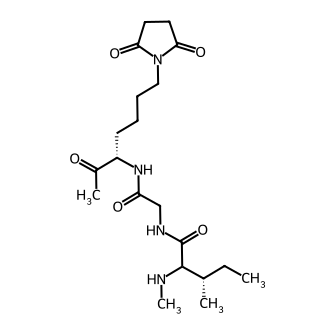 CC[C@H](C)C(NC)C(=O)NCC(=O)N[C@@H](CCCCN1C(=O)CCC1=O)C(C)=O